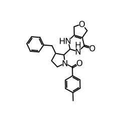 Cc1ccc(C(=O)N2CCC(Cc3ccccc3)C2C2NC(=O)C3=C(COC3)N2)cc1